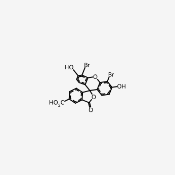 O=C(O)c1ccc2c(c1)C(=O)OC21c2ccc(O)c(Br)c2Oc2c1ccc(O)c2Br